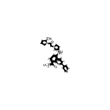 N#C[C@@H]1CCCN1C(=O)CN1CC[C@H](Nc2ccc(C(N)=O)c3nc(-c4ccncc4)ccc23)C1